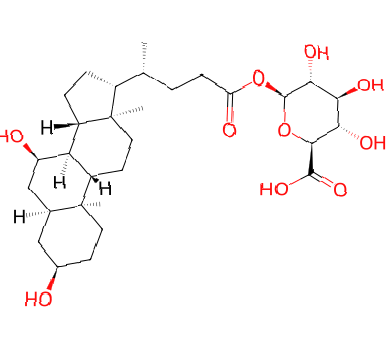 C[C@H](CCC(=O)O[C@@H]1O[C@H](C(=O)O)[C@@H](O)[C@H](O)[C@H]1O)[C@H]1CC[C@H]2[C@@H]3[C@H](O)C[C@@H]4C[C@H](O)CC[C@]4(C)[C@H]3CC[C@]12C